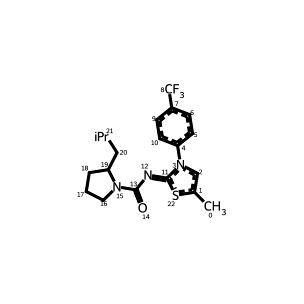 Cc1cn(-c2ccc(C(F)(F)F)cc2)c(=NC(=O)N2CCCC2CC(C)C)s1